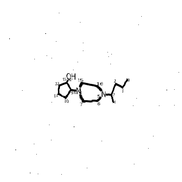 CCCC(C)N1CCN(C2CCCC2O)CC1